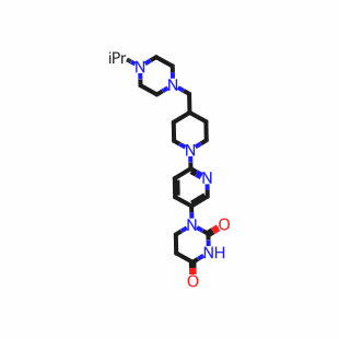 CC(C)N1CCN(CC2CCN(c3ccc(N4CCC(=O)NC4=O)cn3)CC2)CC1